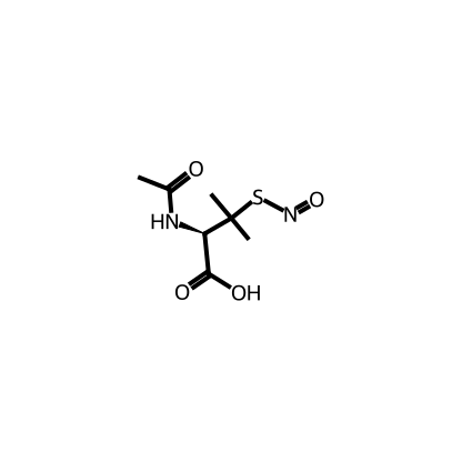 CC(=O)N[C@H](C(=O)O)C(C)(C)SN=O